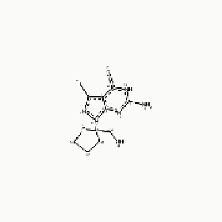 Nc1nc2c(c(I)nn2[C@]2(CO)CCCO2)c(=O)[nH]1